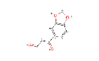 O=CCC(=O)c1ccc2c(c1)OCO2